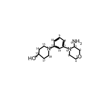 NC1COCCN1c1cccc(N2CCC(O)CC2)c1